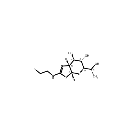 C[C@@H](O)[C@H]1O[C@@H]2SC(NCCF)=N[C@@H]2[C@@H](O)[C@@H]1O